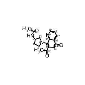 CC(=O)NC1CCN(c2c(C(C)=O)cc(Cl)c3cccnc23)C1